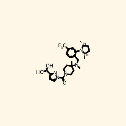 C[C@@H]1CC[C@@H](C)N1c1cc(C(F)(F)F)ccc1CN(C)C1(C)CCN(C(=O)n2ccc(C(O)O)n2)CC1